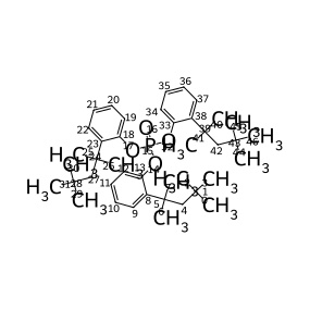 CC(C)(C)CC(C)(C)c1ccccc1OP(=O)(Oc1ccccc1C(C)(C)CC(C)(C)C)Oc1ccccc1C(C)(C)CC(C)(C)C